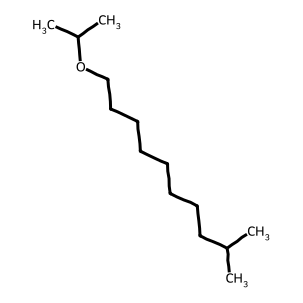 CC(C)CCCCCCCCOC(C)C